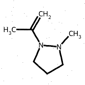 C=C(C)N1CCCN1C